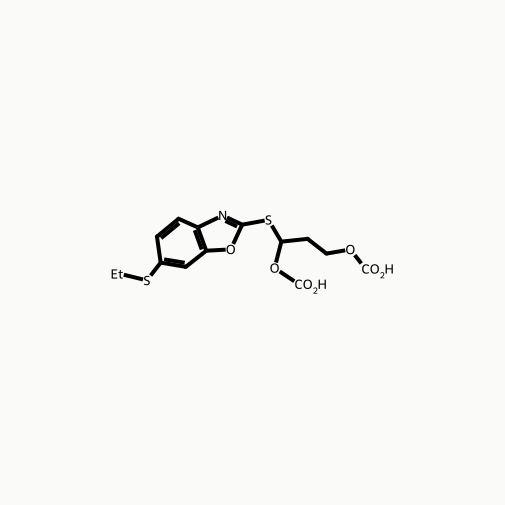 CCSc1ccc2nc(SC(CCOC(=O)O)OC(=O)O)oc2c1